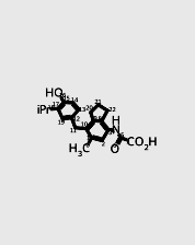 Cc1cc(NC(=O)C(=O)O)c2c(c1Cc1ccc(O)c(C(C)C)c1)CCC2